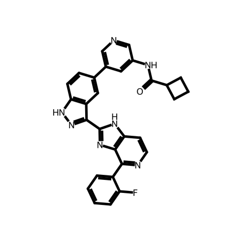 O=C(Nc1cncc(-c2ccc3[nH]nc(-c4nc5c(-c6ccccc6F)nccc5[nH]4)c3c2)c1)C1CCC1